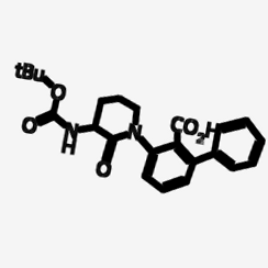 CC(C)(C)OC(=O)NC1CCCN(c2cccc(-c3ccccc3)c2C(=O)O)C1=O